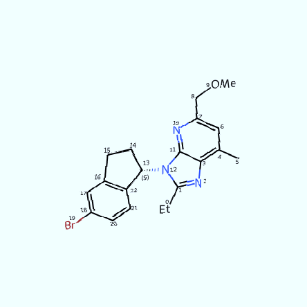 CCc1nc2c(C)cc(COC)nc2n1[C@H]1CCc2cc(Br)ccc21